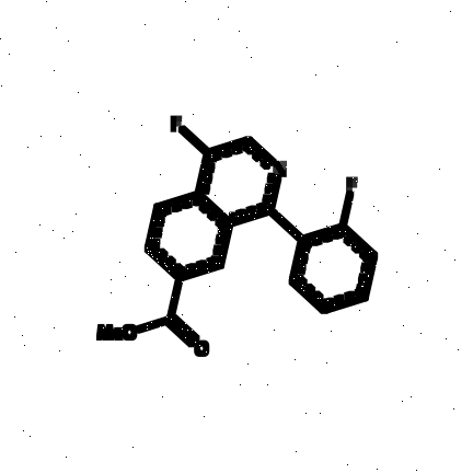 COC(=O)c1ccc2c(F)cnc(-c3ccccc3F)c2c1